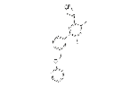 Cc1cc(F)c(-c2cccc(COc3ccccc3)c2)cc1SCC(F)(F)F